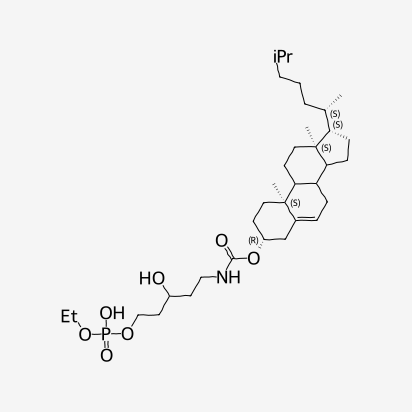 CCOP(=O)(O)OCCC(O)CCNC(=O)O[C@@H]1CC[C@]2(C)C(=CCC3C2CC[C@]2(C)C3CC[C@H]2[C@@H](C)CCCC(C)C)C1